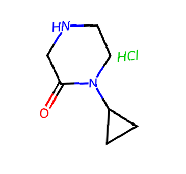 Cl.O=C1CNCCN1C1CC1